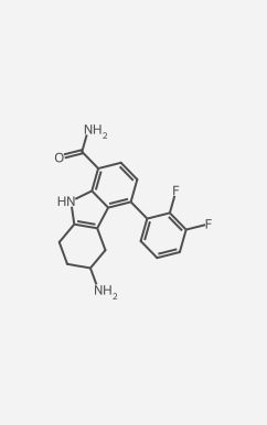 NC(=O)c1ccc(-c2cccc(F)c2F)c2c3c([nH]c12)CCC(N)C3